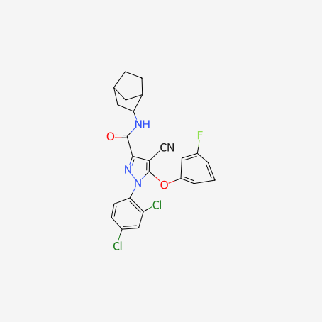 N#Cc1c(C(=O)NC2CC3CCC2C3)nn(-c2ccc(Cl)cc2Cl)c1Oc1cccc(F)c1